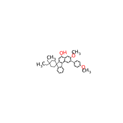 CCC1(CC)CCC2(CC1)c1ccccc1-c1c2cc(O)c2cc(OC)c(-c3ccc(OC)cc3)cc12